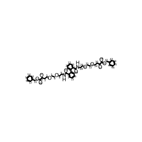 O=C(CCOCCOCCNC(=O)c1ccccc1-c1ccccc1C(=O)NCCOCCOCCC(=O)C(=O)OCc1ccccc1)C(=O)OCc1ccccc1